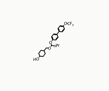 CCCC(OCC1CCC(O)CC1)Oc1ccc(-c2ccc(OC(F)(F)F)cc2)cc1